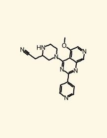 COc1cncc2nc(-c3ccncc3)nc(N3CCNC(CC#N)C3)c12